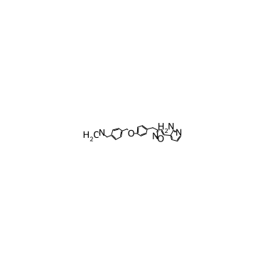 C=NCc1ccc(COc2ccc(Cc3cc(-c4cccnc4N)on3)cc2)cc1